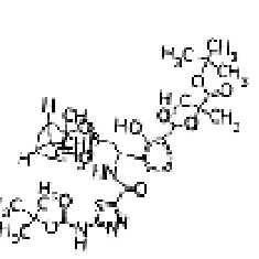 CC(C)(C)OC(=O)Nc1nnc(C(=O)NC(CB2OC3C[C@@H]4C[C@@H](C4(C)C)[C@]3(C)O2)c2cccc(C(=O)OC(C)(C)C(=O)OC(C)(C)C)c2O)s1